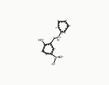 O=[N+]([O-])c1ccc(O)c(CPc2ccccc2)c1